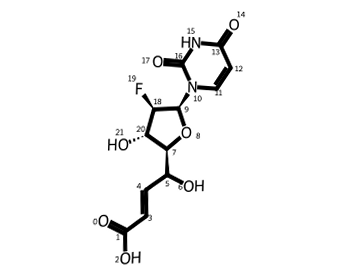 O=C(O)/C=C/C(O)[C@@H]1O[C@H](n2ccc(=O)[nH]c2=O)[C@H](F)[C@H]1O